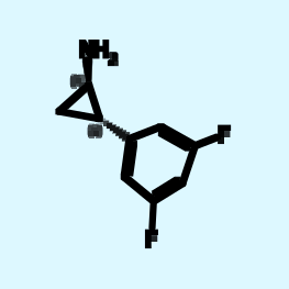 N[C@@H]1C[C@H]1c1cc(F)cc(F)c1